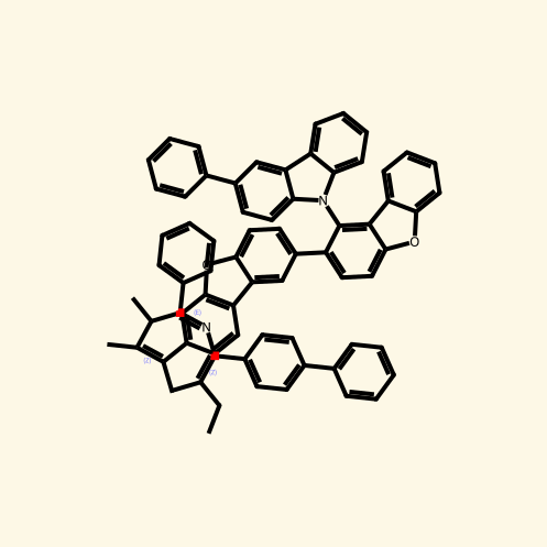 CC/C1=C(c2ccc(-c3ccccc3)cc2)/N=C(/c2ccccc2)C(C)/C(C)=C(\c2ccc3c(c2)oc2ccc(-c4ccc5oc6ccccc6c5c4-n4c5ccccc5c5cc(-c6ccccc6)ccc54)cc23)C1